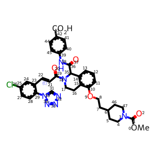 COC(=O)N1CCC(CCOc2cccc3c2CCN(C(=O)/C=C/c2cc(Cl)ccc2-n2cnnn2)C3C(=O)Nc2ccc(C(=O)O)cc2)CC1